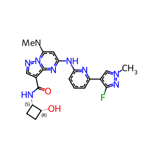 CNc1cc(Nc2cccc(-c3cn(C)nc3F)n2)nc2c(C(=O)N[C@H]3CC[C@H]3O)cnn12